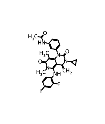 C=C1c2c(c(C)c(=O)n(C)c2Nc2ccc(I)cc2F)N(c2cccc(NC(C)=O)c2)C(=O)N1C1CC1